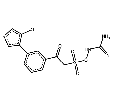 N=C(N)NOS(=O)(=O)CC(=O)c1cccc(-c2cscc2Cl)c1